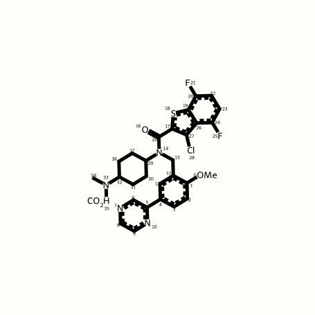 COc1ccc(-c2cnccn2)cc1CN(C(=O)c1sc2c(F)ccc(F)c2c1Cl)C1CCC(N(C)C(=O)O)CC1